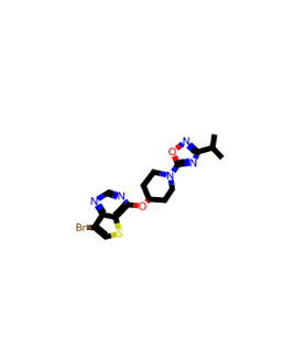 CC(C)c1noc(N2CCC(Oc3ncnc4c(Br)csc34)CC2)n1